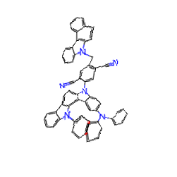 N#Cc1cc(-n2c3ccc(N(c4ccccc4)c4ccccc4)cc3c3c2ccc2c4ccccc4n(-c4ccccc4)c23)c(C#N)cc1Cn1c2ccccc2c2c3ccccc3ccc21